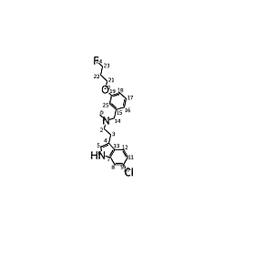 CN(CCc1c[nH]c2cc(Cl)ccc12)Cc1cccc(OCCCF)c1